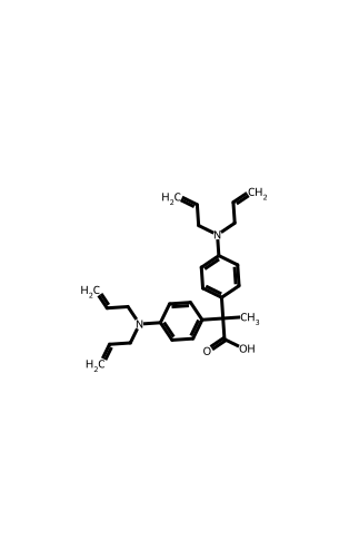 C=CCN(CC=C)c1ccc(C(C)(C(=O)O)c2ccc(N(CC=C)CC=C)cc2)cc1